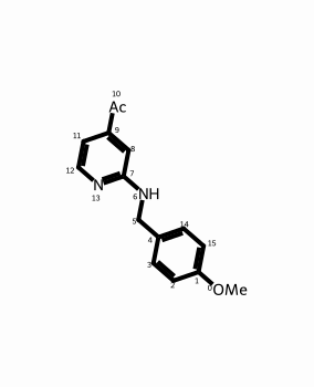 COc1ccc(CNc2cc(C(C)=O)ccn2)cc1